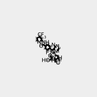 Nc1nccn2c([C@@H]3C[C@H]4COC[C@H]4N3C(=O)CO)nc(-c3ccc(C(=O)Nc4cc(C(F)(F)F)ccn4)cc3F)c12